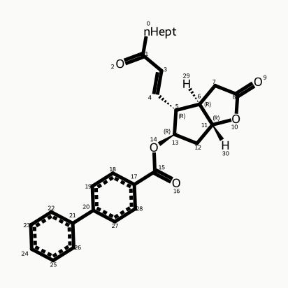 CCCCCCCC(=O)C=C[C@@H]1[C@H]2CC(=O)O[C@@H]2C[C@H]1OC(=O)c1ccc(-c2ccccc2)cc1